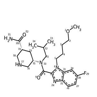 COCCCCn1c(C(=O)N(CC(C)C)[C@@H]2CNC[C@H](C(N)=O)C2)nc2ccc(F)cc21